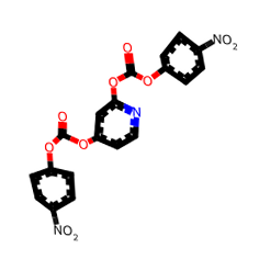 O=C(Oc1ccc([N+](=O)[O-])cc1)Oc1ccnc(OC(=O)Oc2ccc([N+](=O)[O-])cc2)c1